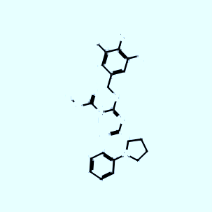 CC(C)(C)OC(=O)N/C(=N\C(=O)[C@@H]1CCCN1c1ccccc1)NCc1cc(Cl)c(N)c(Cl)c1